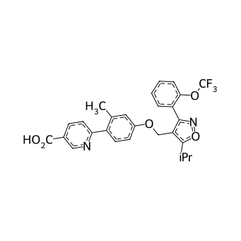 Cc1cc(OCc2c(-c3ccccc3OC(F)(F)F)noc2C(C)C)ccc1-c1ccc(C(=O)O)cn1